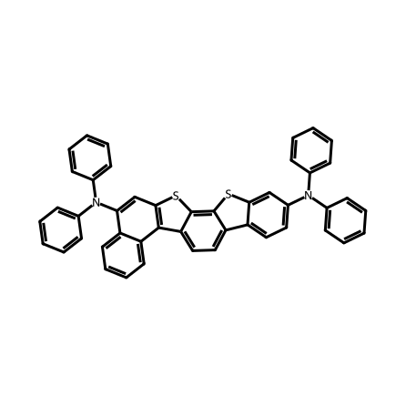 c1ccc(N(c2ccccc2)c2ccc3c(c2)sc2c3ccc3c2sc2cc(N(c4ccccc4)c4ccccc4)c4ccccc4c23)cc1